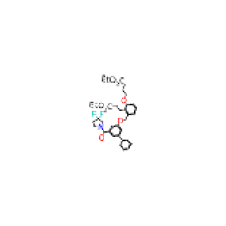 CCOC(=O)CCCOc1cccc(COc2cc(C(=O)N3CCC(F)(F)C3)cc(-c3ccccc3)c2)c1CCC(=O)OCC